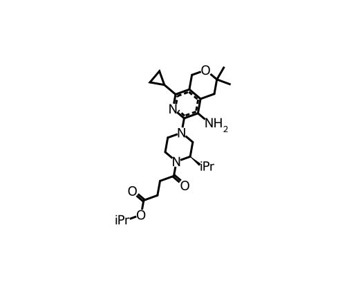 CC(C)OC(=O)CCC(=O)N1CCN(c2nc(C3CC3)c3c(c2N)CC(C)(C)OC3)C[C@H]1C(C)C